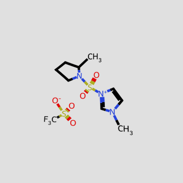 CC1CCCN1S(=O)(=O)[n+]1ccn(C)c1.O=S(=O)([O-])C(F)(F)F